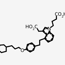 O=C(O)CCCn1cc(CC(=O)O)c2c(CCc3ccc(OCCCC4CCCCC4)cc3)cccc21